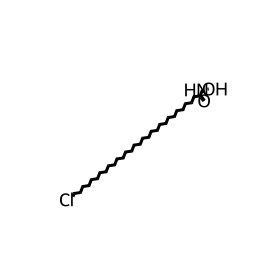 O=C(CCCCCCCCCCCCCCCCCCCCCCCCCCCCCCl)NO